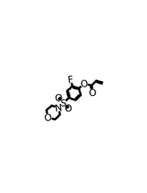 C=CC(=O)Oc1ccc(S(=O)(=O)N2CCOCC2)cc1F